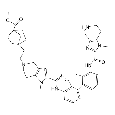 COC(=O)C12CCC(CCN3CCc4c(nc(C(=O)Nc5cccc(-c6cccc(NC(=O)c7nc8c(n7C)CCNC8)c6C)c5Cl)n4C)C3)(CC1)C2